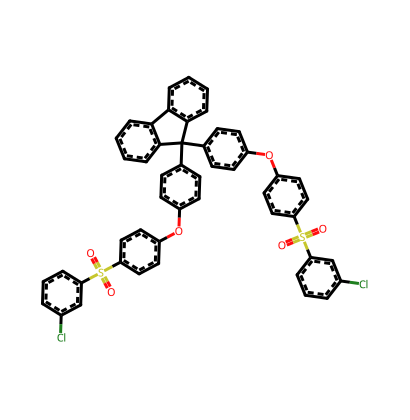 O=S(=O)(c1ccc(Oc2ccc(C3(c4ccc(Oc5ccc(S(=O)(=O)c6cccc(Cl)c6)cc5)cc4)c4ccccc4-c4ccccc43)cc2)cc1)c1cccc(Cl)c1